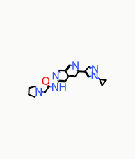 O=C(CN1CCCC1)Nc1cc2cc(-c3cnn(C4CC4)c3)ncc2cn1